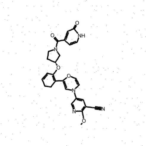 COc1ncc(N2C=COC(C3=C(O[C@H]4CCN(C(=O)c5cc[nH]c(=O)c5)C4)C=CCC3)=C2)cc1C#N